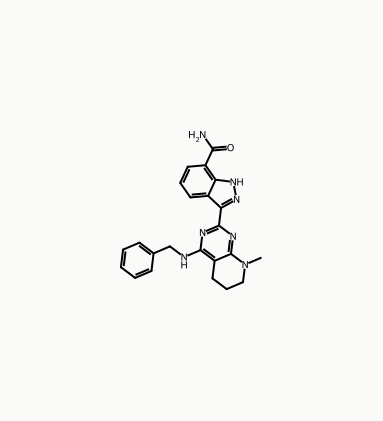 CN1CCCc2c(NCc3ccccc3)nc(-c3n[nH]c4c(C(N)=O)cccc34)nc21